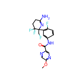 COc1cnc(C(=O)Nc2ccc(F)c(C3(CF)N=C(N)CCC3(F)F)c2)cn1